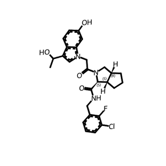 CC(O)c1cn(CC(=O)N2C[C@@H]3CCC[C@@H]3[C@H]2C(=O)NCc2cccc(Cl)c2F)c2cc(O)ccc12